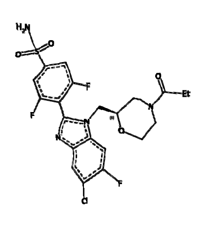 CCC(=O)N1CCO[C@@H](Cn2c(-c3c(F)cc(S(N)(=O)=O)cc3F)nc3cc(Cl)c(F)cc32)C1